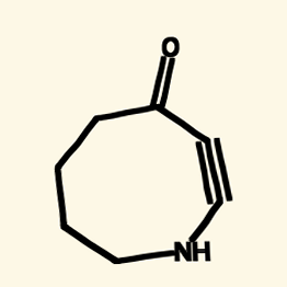 O=C1C#CNCCCC1